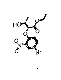 CCOC(=O)[C@@H](Oc1ccc(Br)cc1[N+](=O)[O-])[C@H](C)O